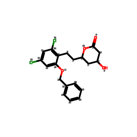 O=C1CC(O)CC(CCc2c(Cl)cc(Cl)cc2OCc2ccccc2)O1